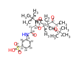 CC(OC(C)(C)C)C(=O)C(C)(C)C(C)(C)OC(CC(=O)Nc1cccc(S(=O)(=O)O)c1)C(=O)C(C)(C)C